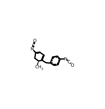 C[C@H]1CC(N=C=O)=CC=C1Cc1ccc(N=C=O)cc1